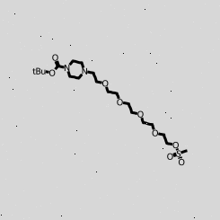 CC(C)(C)OC(=O)N1CCN(CCOCCOCCOCCOCCOS(C)(=O)=O)CC1